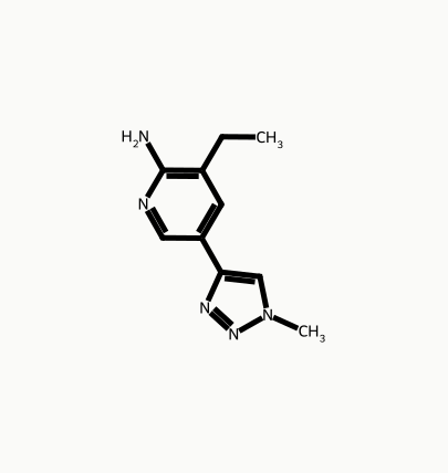 CCc1cc(-c2cn(C)nn2)cnc1N